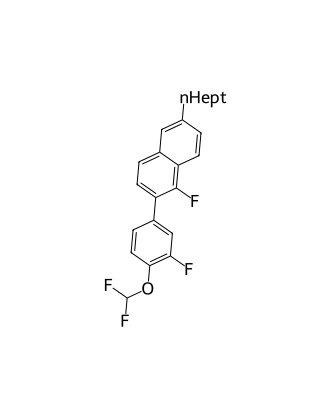 CCCCCCCc1ccc2c(F)c(-c3ccc(OC(F)F)c(F)c3)ccc2c1